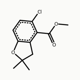 COC(=O)c1c(Cl)ccc2c1CC(C)(C)O2